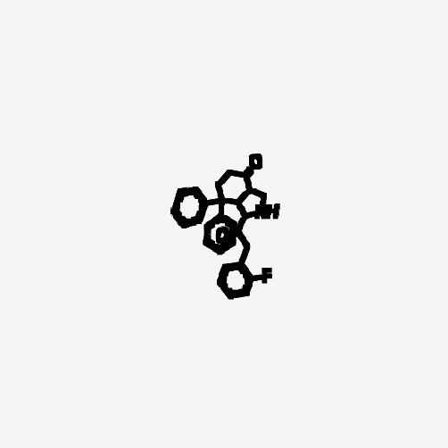 O=C1CCC(c2ccccc2)(c2ccccc2)C2C1CNC2C(=O)Cc1ccccc1F